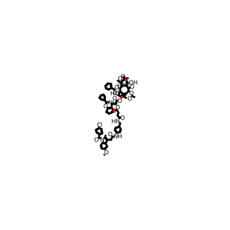 COc1ccc2c(c1)c(CC(=O)Nc1ccc(CNC(=O)CCC(=O)O[C@@H](C(=O)O[C@H]3C[C@@]4(O)[C@@H](OC(=O)c5ccccc5)[C@H]5[C@](C)(C(=O)[C@H](OC(C)=O)C(=C3C)C4(C)C)[C@@H](O)CC3OC[C@]35OC(C)=O)[C@@H](NC(=O)c3ccccc3)c3ccccc3)cc1)c(C)n2C(=O)c1ccc(Cl)cc1